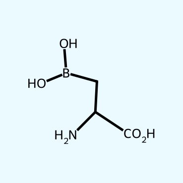 NC(CB(O)O)C(=O)O